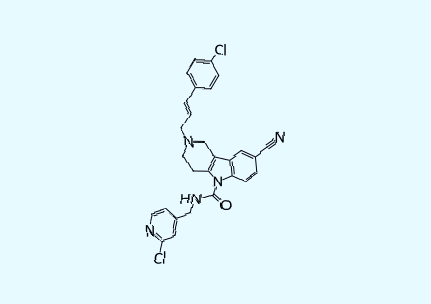 N#Cc1ccc2c(c1)c1c(n2C(=O)NCc2ccnc(Cl)c2)CCN(CC=Cc2ccc(Cl)cc2)C1